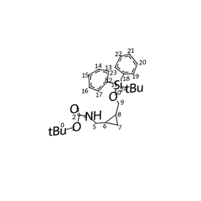 CC(C)(C)OC(=O)NCC1CC1CO[Si](c1ccccc1)(c1ccccc1)C(C)(C)C